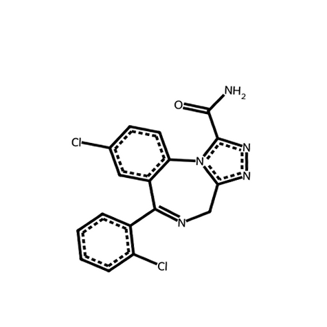 NC(=O)c1nnc2n1-c1ccc(Cl)cc1C(c1ccccc1Cl)=NC2